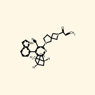 C=CC(=O)N1CC2(CCN(c3nc4c(c(-c5cccc6cc[nH]c56)c3C#N)C[C@H]3C[C@@H]4C3(C)C)C2)C1